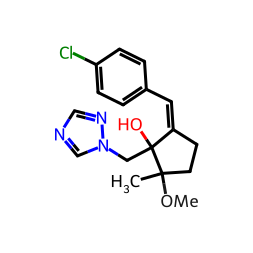 COC1(C)CCC(=Cc2ccc(Cl)cc2)C1(O)Cn1cncn1